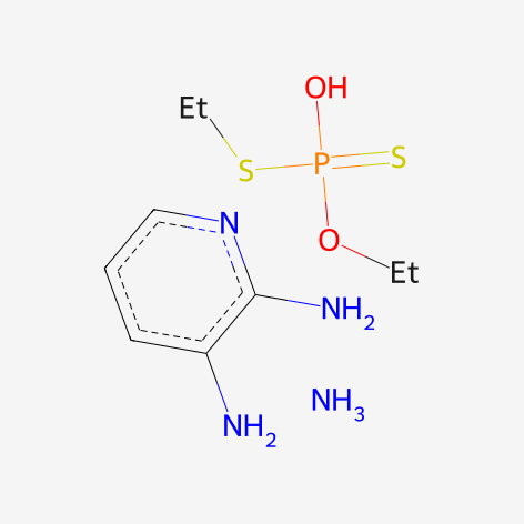 CCOP(O)(=S)SCC.N.Nc1cccnc1N